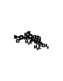 CCN(CC)[C@@H]1CO[C@@H]2[C@H]1OC[C@H]2Oc1cc2ncnc(Nc3ccc(Br)c(Cl)c3)c2cc1OC